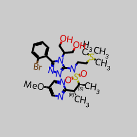 COc1cnc([C@@H](C)[C@H](C)S(=O)(=O)N(CCS(C)(C)C)c2nnc(-c3ccccc3Br)n2C(CO)CO)nc1